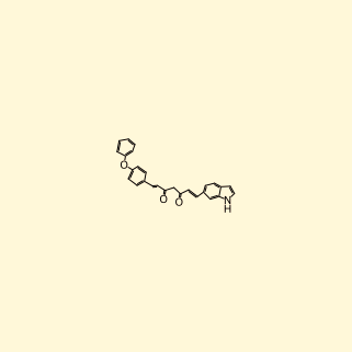 O=C(C=Cc1ccc(Oc2ccccc2)cc1)CC(=O)C=Cc1ccc2cc[nH]c2c1